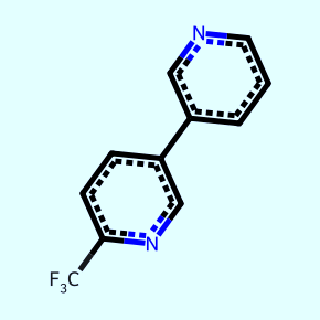 FC(F)(F)c1ccc(-c2cccnc2)cn1